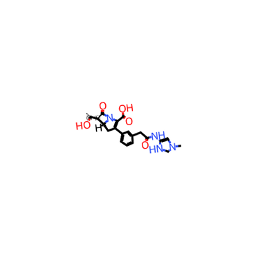 C[C@@H](O)[C@H]1C(=O)N2C(C(=O)O)=C(c3cccc(CC(=O)NC4=CN(C)CN4)c3)C[C@H]12